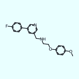 COc1ccc(OCCNCc2cncc(-c3ccc(F)cc3)c2)cc1